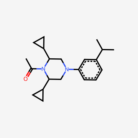 CC(=O)N1C(C2CC2)CN(c2cccc(C(C)C)c2)CC1C1CC1